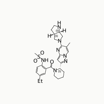 CCc1ccc(NS(C)(=O)=O)c(C(=O)N2CCCC[C@H]2c2cc3nc(N4C[C@@H]5CCN[C@@H]5C4)c(C)cn3n2)c1